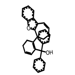 OC(C1=C(C2CCC=Cc3c2oc2ccccc32)CCC=C1)(c1ccccc1)c1ccccc1